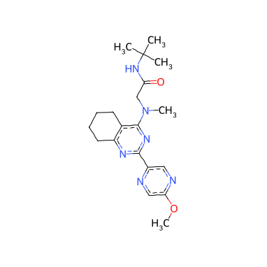 COc1cnc(-c2nc3c(c(N(C)CC(=O)NC(C)(C)C)n2)CCCC3)cn1